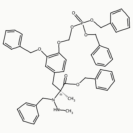 CNN(Cc1ccccc1)[C@@](C)(Cc1ccc(OCOP(=O)(OCc2ccccc2)OCc2ccccc2)c(OCc2ccccc2)c1)C(=O)OCc1ccccc1